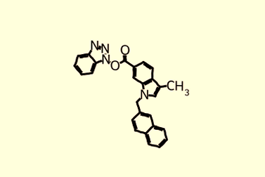 Cc1cn(Cc2ccc3ccccc3c2)c2cc(C(=O)On3nnc4ccccc43)ccc12